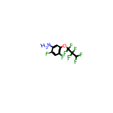 Nc1cc(OC(F)(F)C(F)(F)C(F)F)c(F)cc1F